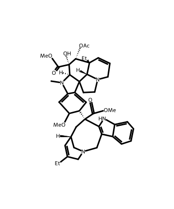 CCC1=C[C@H]2CN(C1)Cc1c([nH]c3ccccc13)[C@@](C(=O)OC)(C1C=C3C(=CC1OC)N(C)[C@@H]1C34CCN3CC=C[C@](CC)([C@H]34)[C@@H](OC(C)=O)[C@]1(O)C(=O)OC)C2